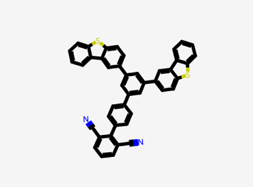 N#Cc1cccc(C#N)c1-c1ccc(-c2cc(-c3ccc4sc5ccccc5c4c3)cc(-c3ccc4sc5ccccc5c4c3)c2)cc1